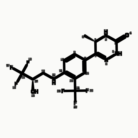 C[C@@H]1NC(=O)NN=C1c1ccc(NC[C@H](O)C(F)(F)F)c(C(F)(F)F)c1